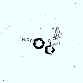 C.C.C.C.O.O.[O-][N+]1(O)C=CN=C1.c1ccccc1